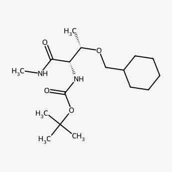 CNC(=O)[C@@H](NC(=O)OC(C)(C)C)[C@H](C)OCC1CCCCC1